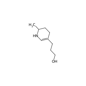 CC1CCC(CCCO)=CN1